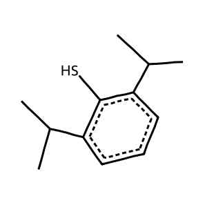 CC(C)c1cccc(C(C)C)c1S